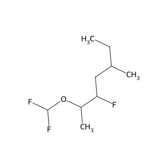 CCC(C)CC(F)C(C)OC(F)F